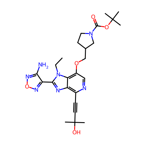 CCn1c(-c2nonc2N)nc2c(C#CC(C)(C)O)ncc(OCC3CCN(C(=O)OC(C)(C)C)C3)c21